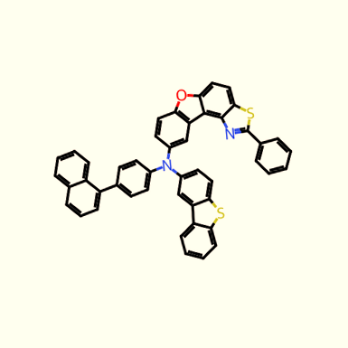 c1ccc(-c2nc3c(ccc4oc5ccc(N(c6ccc(-c7cccc8ccccc78)cc6)c6ccc7sc8ccccc8c7c6)cc5c43)s2)cc1